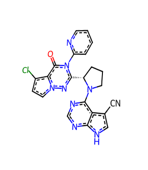 N#Cc1c[nH]c2ncnc(N3CCC[C@H]3c3nn4ccc(Cl)c4c(=O)n3-c3ccccn3)c12